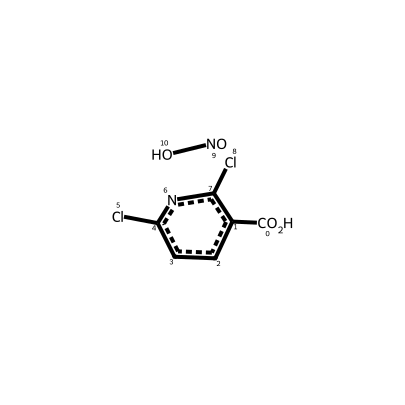 O=C(O)c1ccc(Cl)nc1Cl.O=NO